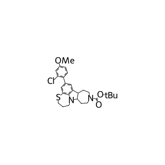 COc1ccc(-c2cc3c4c(c2)C2CCN(C(=O)OC(C)(C)C)CCC2N4CCCS3)c(Cl)c1